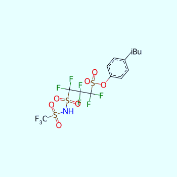 CCC(C)c1ccc(OS(=O)(=O)C(F)(F)C(F)(F)C(F)(F)S(=O)(=O)NS(=O)(=O)C(F)(F)F)cc1